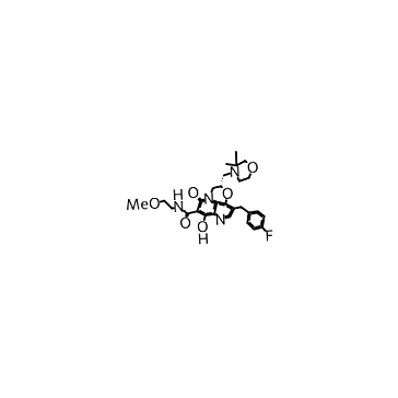 COCCNC(=O)c1c(O)c2ncc(Cc3ccc(F)cc3)c3c2n(c1=O)C[C@H](CN1CCOCC1(C)C)O3